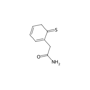 NC(=O)CC1=CC=CCC1=S